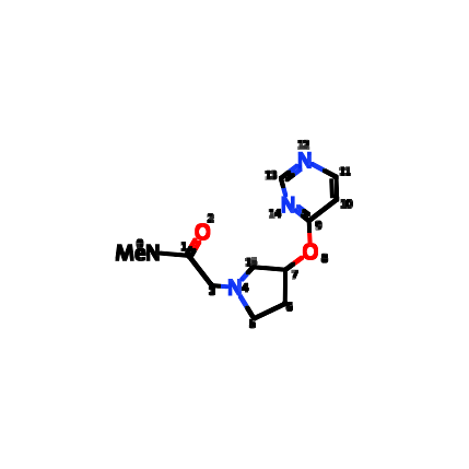 CNC(=O)CN1CCC(Oc2ccncn2)C1